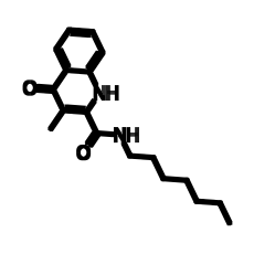 CCCCCCCNC(=O)c1[nH]c2ccccc2c(=O)c1C